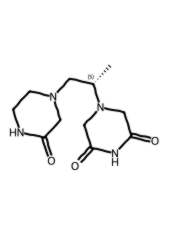 C[C@@H](CN1CCNC(=O)C1)N1CC(=O)NC(=O)C1